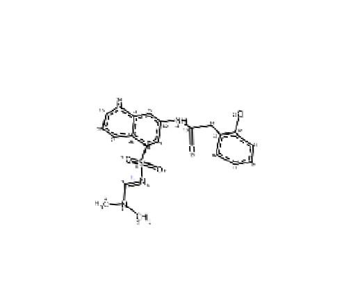 CN(C)/C=N/S(=O)(=O)c1cc(NC(=O)Cc2ccccc2Cl)cc2ncccc12